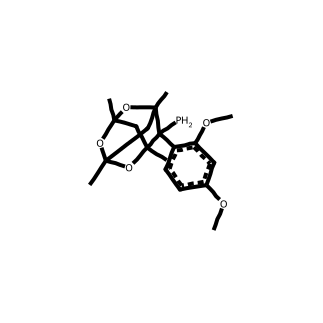 COc1ccc(C2(P)C3(C)CC4(C)OC(C)(CC2(C)O4)O3)c(OC)c1